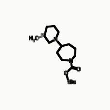 C[C@@H]1CCCN(C2CCCN(C(=O)OC(C)(C)C)CC2)C1